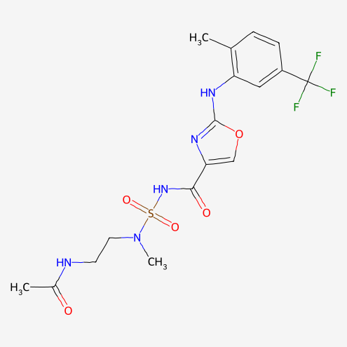 CC(=O)NCCN(C)S(=O)(=O)NC(=O)c1coc(Nc2cc(C(F)(F)F)ccc2C)n1